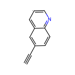 C#Cc1ccc2nc[c]cc2c1